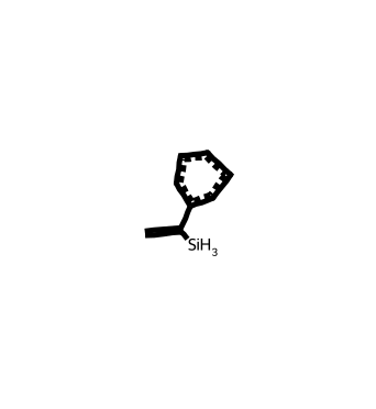 C=C([SiH3])c1ccccc1